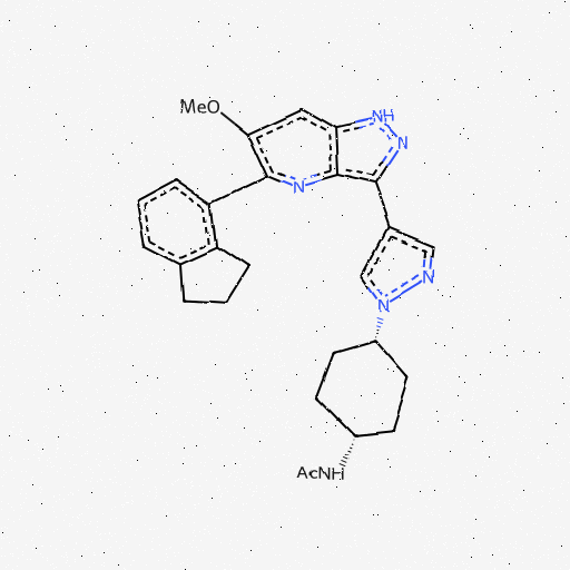 COc1cc2[nH]nc(-c3cnn([C@H]4CC[C@@H](NC(C)=O)CC4)c3)c2nc1-c1cccc2c1CCC2